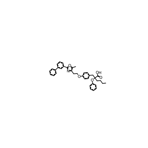 CCCCC(Cc1ccc(OCCc2nc(-c3cccc(-c4ccccc4)c3)oc2C)cc1)(Oc1ccccc1)C(=O)O